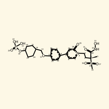 C[C@@](CCn1ccc(-c2ccc(OCC3CCC(OP(=O)(O)O)CC3)cc2)cc1=O)(C(=O)NO)S(C)(=O)=O